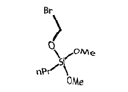 CCC[Si](OC)(OC)OCBr